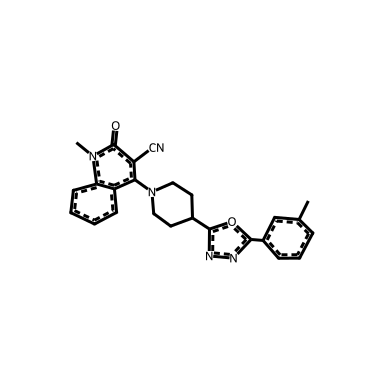 Cc1cccc(-c2nnc(C3CCN(c4c(C#N)c(=O)n(C)c5ccccc45)CC3)o2)c1